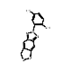 Nc1ccc(O)c(-n2nc3cc4c(cc3n2)OOC4)c1